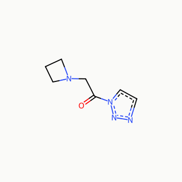 O=C(CN1CCC1)n1ccnn1